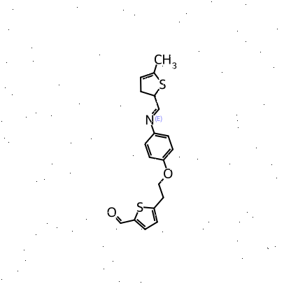 CC1=CCC(/C=N/c2ccc(OCCc3ccc(C=O)s3)cc2)S1